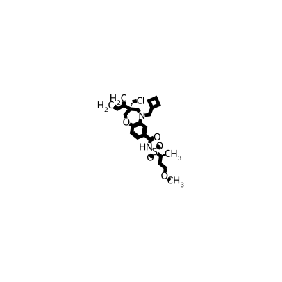 C=CC(=C)[C@]1(CCl)COc2ccc(C(=O)NS(=O)(=O)[C@@H](C)CCOC)cc2N(CC2CCC2)C1